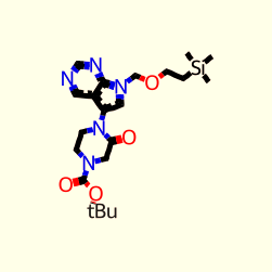 CC(C)(C)OC(=O)N1CCN(c2cn(COCC[Si](C)(C)C)c3ncncc23)C(=O)C1